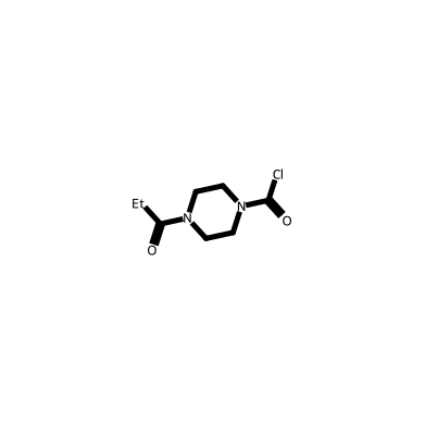 CCC(=O)N1CCN(C(=O)Cl)CC1